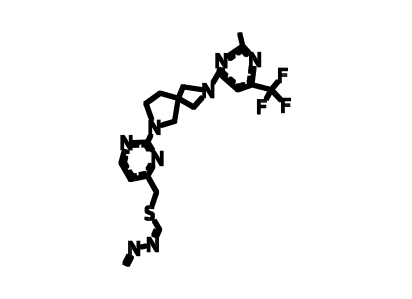 C=N/N=C\SCc1ccnc(N2CCC3(CN(c4cc(C(F)(F)F)nc(C)n4)C3)C2)n1